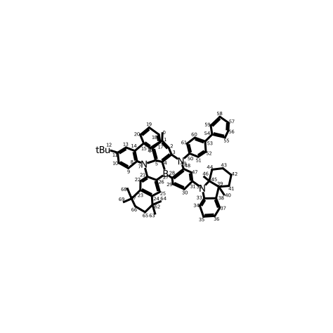 Cc1cc2c3c(c1)N(c1ccc(C(C)(C)C)cc1-c1ccccc1)c1cc4c(cc1B3c1ccc(N3c5ccccc5C5(C)CCCCC35C)cc1N2c1ccc(-c2ccccc2)cc1)C(C)(C)CCC4(C)C